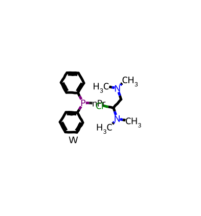 CCCP(c1ccccc1)c1ccccc1.CN(C)CC(Cl)N(C)C.[W]